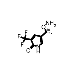 C[C@@H](ON)c1c[nH]c(=O)c(C(F)(F)F)c1